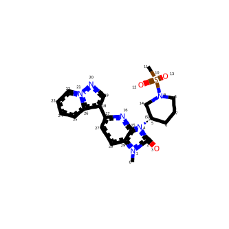 Cn1c(=O)n([C@H]2CCCN(S(C)(=O)=O)C2)c2nc(-c3cnn4ccccc34)ccc21